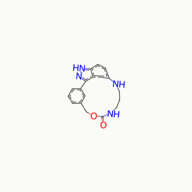 O=C1NCCCNc2ccc3[nH]nc(c3c2)-c2cccc(c2)CO1